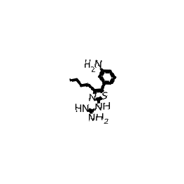 CCCCc1nc(NC(=N)N)sc1-c1cccc(N)c1